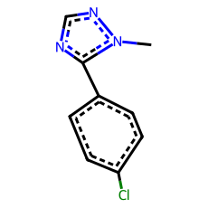 Cn1ncnc1-c1ccc(Cl)cc1